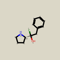 OC(F)(Cc1ccccc1)[C@@H]1CCCN1